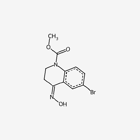 COC(=O)N1CC/C(=N/O)c2cc(Br)ccc21